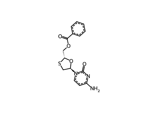 Nc1ccn([C@H]2CS[C@H](COC(=O)c3ccccc3)O2)c(=O)n1